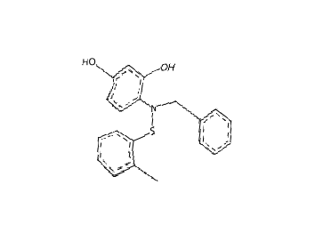 Cc1ccccc1SN(Cc1ccccc1)c1ccc(O)cc1O